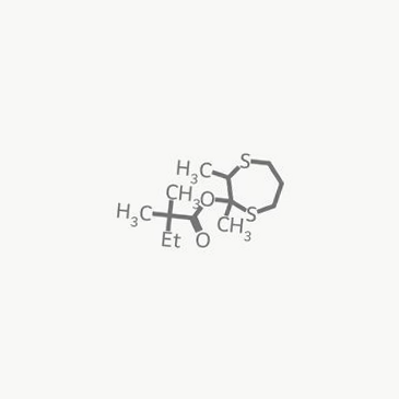 CCC(C)(C)C(=O)OC1(C)SCCCSC1C